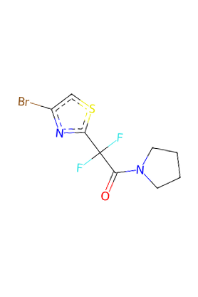 O=C(N1CCCC1)C(F)(F)c1nc(Br)cs1